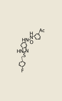 CC(=O)c1cccc(NC(=O)Nc2ccc3[nH]c(SCc4ccc(F)cc4)nc3c2)c1